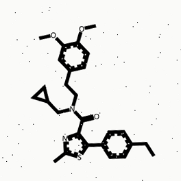 CCc1ccc(-c2sc(C)nc2C(=O)N(CCc2ccc(OC)c(OC)c2)CC2CC2)cc1